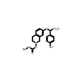 CCOC(=O)C(Oc1ccc2c(c1)CN(OC(=O)OC(C)(C)C)CC2)c1ccc(O)cc1